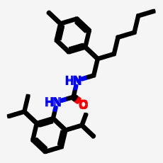 CCCCCC(CNC(=O)Nc1c(C(C)C)cccc1C(C)C)c1ccc(C)cc1